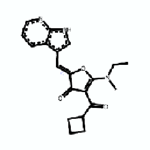 CCN(C)C1=C(C(=O)C2CCC2)C(=O)/C(=C/c2c[nH]c3ncccc23)O1